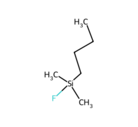 CCCC[Si](C)(C)F